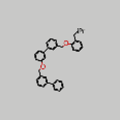 CC(C)Cc1ccccc1OCc1cccc(-c2cccc(OCc3cccc(-c4ccccc4)c3)c2)c1